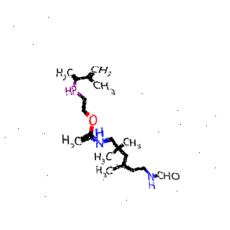 C=C(NCC(C)(C)CC(C)CCNC=O)OCCPC(=C)C(=C)C